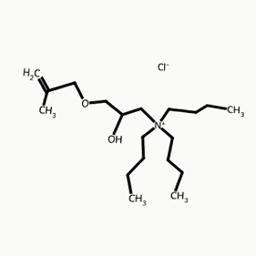 C=C(C)COCC(O)C[N+](CCCC)(CCCC)CCCC.[Cl-]